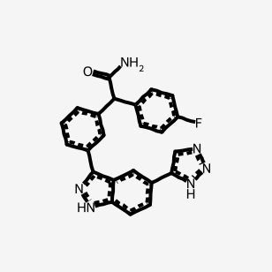 NC(=O)C(c1ccc(F)cc1)c1cccc(-c2n[nH]c3ccc(-c4cnn[nH]4)cc23)c1